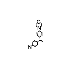 C=C(c1ccc(N(C)C)cc1)c1ccc(N2CCOCC2)cc1